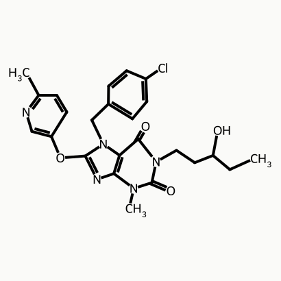 CCC(O)CCn1c(=O)c2c(nc(Oc3ccc(C)nc3)n2Cc2ccc(Cl)cc2)n(C)c1=O